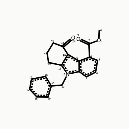 COC(=O)c1cccc2c1c1c(n2Cc2ccccc2)CCCC1=O